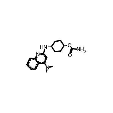 CN(C)c1cc(N[C@H]2CC[C@@H](OC(N)=O)CC2)nc2ccccc12